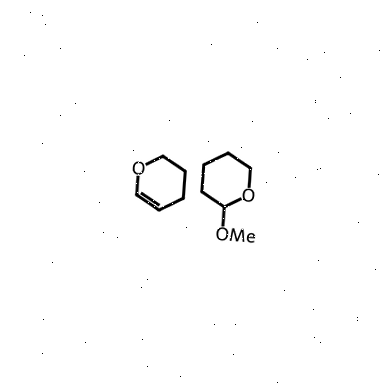 C1=COCCC1.COC1CCCCO1